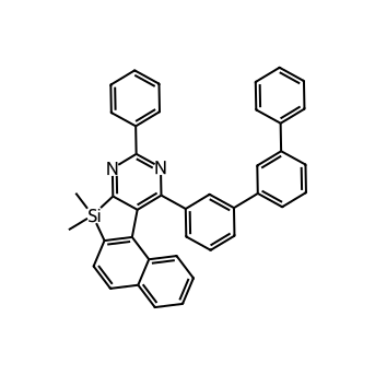 C[Si]1(C)c2ccc3ccccc3c2-c2c(-c3cccc(-c4cccc(-c5ccccc5)c4)c3)nc(-c3ccccc3)nc21